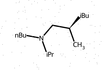 CCCCN(C[C@H](C)C(C)CC)C(C)C